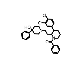 O=C(c1ccccc1)N1CCCC(c2ccc(Cl)c(Cl)c2)C1CCN1CCC(O)(c2ccccc2)CC1